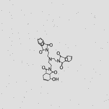 O=C1c2c(c3ccc2o3)C(=O)N1CCN(CCN1C(=O)C2CC=CC(O)C2C1=O)CCN1C(=O)C2C3C=CC(O3)C2C1=O